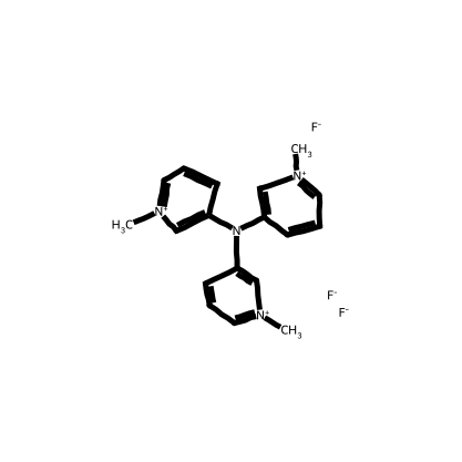 C[n+]1cccc(N(c2ccc[n+](C)c2)c2ccc[n+](C)c2)c1.[F-].[F-].[F-]